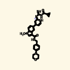 Cn1cc(C(=O)NCc2ccc(N3CCOCC3)cc2)c2cc(-c3cc[nH]/c(=N\C(=N)NC(=O)C4CC4)c3)ccc21